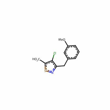 COc1cccc(Cc2nsc(C(=O)O)c2Cl)c1